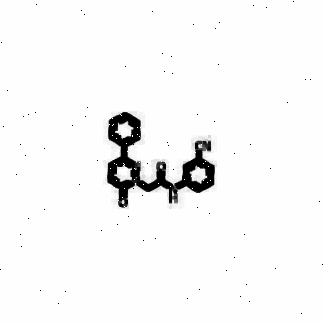 N#Cc1cccc(NC(=O)Cn2nc(-c3ccccc3)ccc2=O)c1